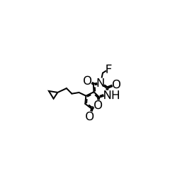 O=c1cc(CCCC2CC2)c2c(=O)n(CF)c(=O)[nH]c2o1